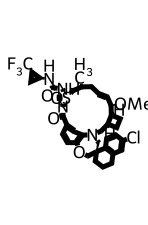 CO[C@H]1/C=C/C[C@H](C)CS(=O)(NC(=O)N[C@H]2C[C@@H]2C(F)(F)F)=NC(=O)c2ccc3c(c2)N(C[C@@H]2CC[C@H]21)C[C@@]1(CCCc2cc(Cl)ccc21)CO3